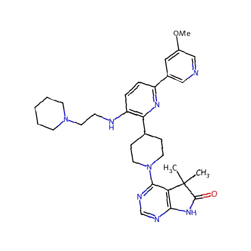 COc1cncc(-c2ccc(NCCN3CCCCC3)c(C3CCN(c4ncnc5c4C(C)(C)C(=O)N5)CC3)n2)c1